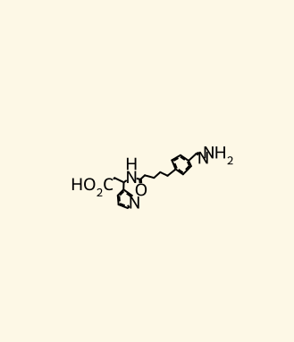 NN=Cc1ccc(CCCCC(=O)NC(CC(=O)O)c2cccnc2)cc1